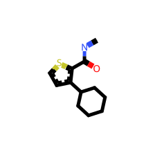 C=NC(=O)c1sccc1C1CCCCC1